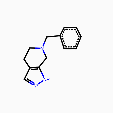 C1=[N+]NC2=C1CCN(Cc1ccccc1)C2